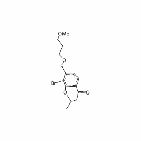 COCCCOSc1ccc2c(c1Br)OC(C)CC2=O